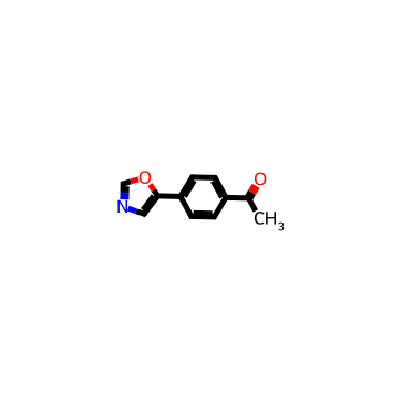 CC(=O)c1ccc(-c2cnco2)cc1